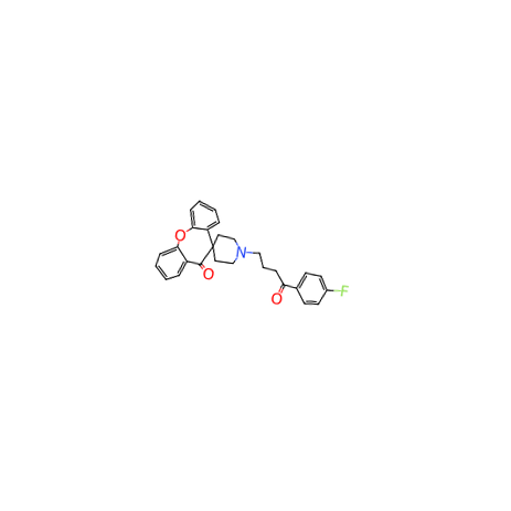 O=C(CCCN1CCC2(CC1)C(=O)c1ccccc1Oc1ccccc12)c1ccc(F)cc1